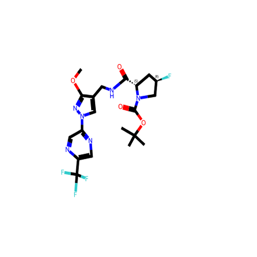 COc1nn(-c2cnc(C(F)(F)F)cn2)cc1CNC(=O)[C@@H]1C[C@@H](F)CN1C(=O)OC(C)(C)C